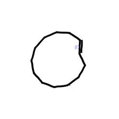 [CH]1CC/C=C/CCCCCCCC1